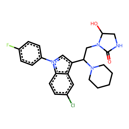 O=C1NCC(O)N1CC(c1cn(-c2ccc(F)cc2)c2ccc(Cl)cc12)N1CCCCC1